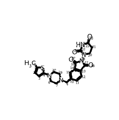 Cc1ccc(N2CCN(Cc3ccc4c(c3)C(=O)N(N3CCC(=O)NC3=O)C4=O)CC2)s1